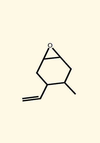 C=CC1CC2OC2CC1C